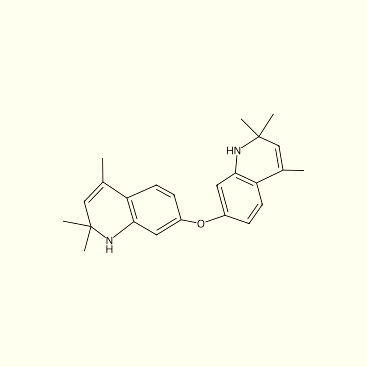 CC1=CC(C)(C)Nc2cc(Oc3ccc4c(c3)NC(C)(C)C=C4C)ccc21